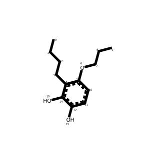 CCCCc1c(OCCC)ccc(O)c1O